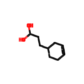 OC(O)CCC1CC=CCC1